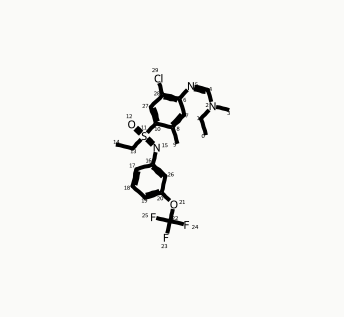 CCN(C)/C=N\c1cc(C)c(S(=O)(CC)=Nc2cccc(OC(F)(F)F)c2)cc1Cl